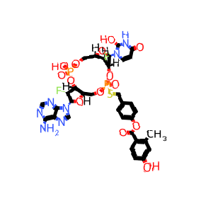 Cc1cc(O)ccc1C(=O)Oc1ccc(CS[P@@]2(=O)OC[C@H]3O[C@@H](n4cnc5c(N)ncnc54)[C@H](F)[C@@H]3OP(=O)(O)OC[C@H]3O[C@@H](N4C=CC(=O)NC4O)[C@H](O2)[C@@H]3F)cc1